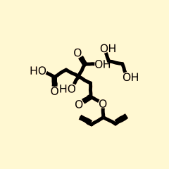 C=CC(C=C)OC(=O)CC(O)(CC(=O)O)C(=O)O.OCCO